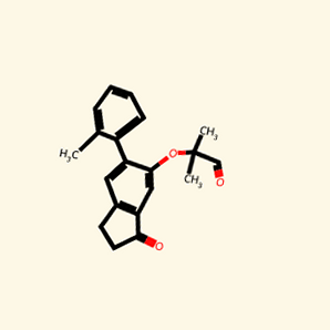 Cc1ccccc1-c1cc2c(cc1OC(C)(C)C=O)C(=O)CC2